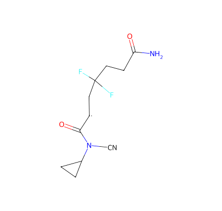 N#CN(C(=O)[CH]CC(F)(F)CCC(N)=O)C1CC1